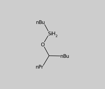 CCCC[SiH2]OC(CCC)CCCC